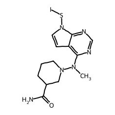 CN(c1ncnc2c1ccn2SI)N1CCCC(C(N)=O)C1